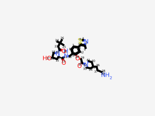 Cc1ncsc1-c1ccc(CNC(=O)[C@H]2C[C@H](O)CN2C(=O)CC(C)(C)C)c(OCC(=O)N2CCC(CCCN)CC2)c1